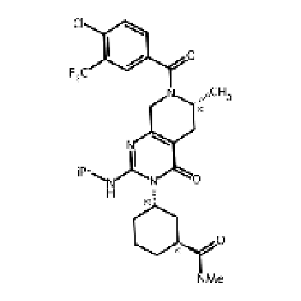 CNC(=O)[C@H]1CCC[C@H](n2c(NC(C)C)nc3c(c2=O)C[C@@H](C)N(C(=O)c2ccc(Cl)c(C(F)(F)F)c2)C3)C1